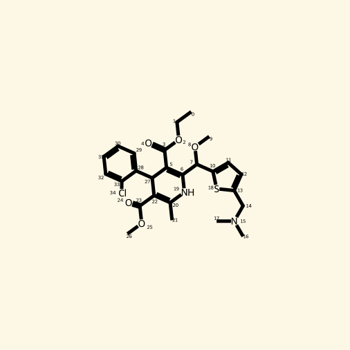 CCOC(=O)C1=C(C(OC)c2ccc(CN(C)C)s2)NC(C)=C(C(=O)OC)C1c1ccccc1Cl